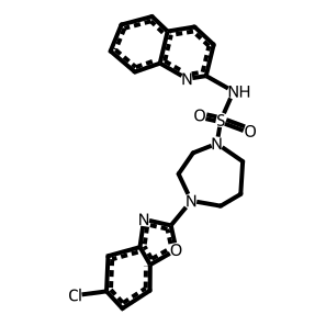 O=S(=O)(Nc1ccc2ccccc2n1)N1CCCN(c2nc3cc(Cl)ccc3o2)CC1